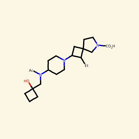 CCC1C(N2CCC(N(CC3(O)CCC3)C(C)=O)CC2)CC12CCN(C(=O)O)C2